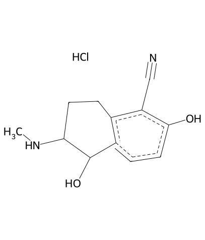 CNC1CCc2c(ccc(O)c2C#N)C1O.Cl